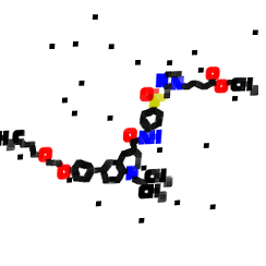 CCCCOCCOc1ccc(-c2ccc3c(c2)C=C(C(=O)Nc2ccc([S+]([O-])Cc4nccn4CCCC(=O)OCC)cc2)CCN3CC(C)C)cc1